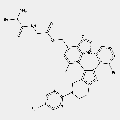 CCc1cccc(CC)c1-n1nc2c(c1-c1c(F)cc(COC(=O)CNC(=O)C(N)C(C)C)c3[nH]ccc13)CN(c1ncc(C(F)(F)F)cn1)CC2